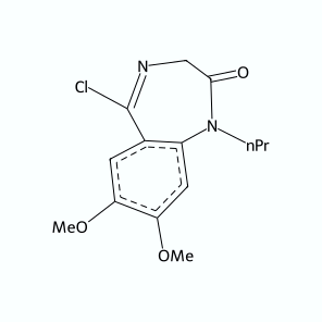 CCCN1C(=O)CN=C(Cl)c2cc(OC)c(OC)cc21